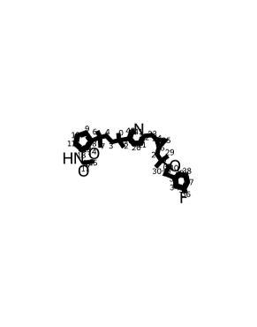 CC(C)(CCC(C)(C)c1cccc2c1OCC(=O)N2)c1ccc(CC2CC2CC(C)(C)[C@@H]2Cc3cc(F)ccc3O2)nc1